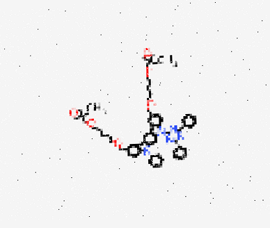 CCC1(COCCCCCOCc2ccc3c(c2)c2cc4c5cc(COCCCCCOCC6(CC)COC6)ccc5n(-c5nc(-c6ccccc6)nc(-c6ccccc6)n5)c4cc2n3-c2ccccc2)COC1